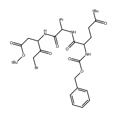 CC(C)C(NC(=O)C(CCC(=O)C(C)(C)C)NC(=O)OCc1ccccc1)C(=O)NC(CC(=O)OC(C)(C)C)C(=O)CBr